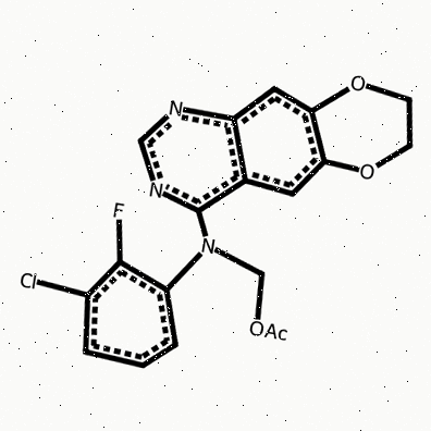 CC(=O)OCN(c1cccc(Cl)c1F)c1ncnc2cc3c(cc12)OCCO3